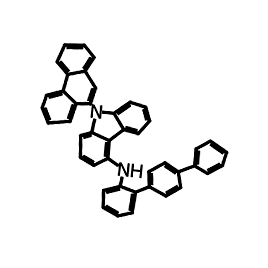 c1ccc(-c2ccc(-c3ccccc3Nc3cccc4c3c3ccccc3n4-c3cc4ccccc4c4ccccc34)cc2)cc1